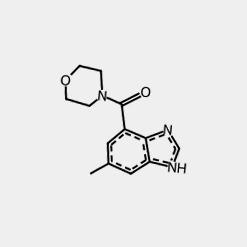 Cc1cc(C(=O)N2CCOCC2)c2nc[nH]c2c1